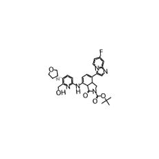 CC(C)(C)OC(=O)N1CC2C(c3cnc4cc(F)ccn34)=CC=C(Nc3ccc([C@@H]4CCOC4)c(CO)n3)C2C1=O